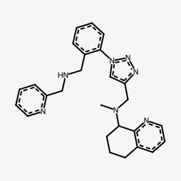 CN(Cc1cn(-c2ccccc2CNCc2ccccn2)nn1)C1CCCc2cccnc21